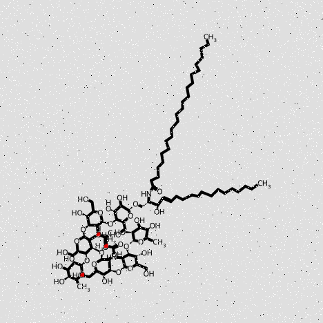 CCCCCCCCCCCCC/C=C/[C@@H](O)[C@H](CO[C@@H]1OC(CO)[C@@H](O[C@@H]2OC(CO)[C@H](O)[C@H](O[C@@H]3OC(CO)[C@@H](O[C@H]4OC(C)[C@@H](O)C(O)[C@@H]4O)[C@H](O[C@@H]4OC(CO)[C@H](O)[C@H](O[C@@H]5OC(CO)[C@@H](O)[C@H](O[C@H]6OC(C)[C@@H](O)C(O)[C@@H]6O)C5NC(C)=O)C4O)C3NC(C)=O)C2O)[C@H](O)C1O)NC(=O)CCCCCCCCCCCCCCCCCCCCCCC